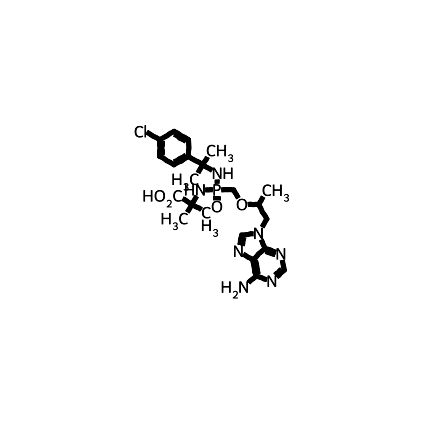 CC(Cn1cnc2c(N)ncnc21)OCP(=O)(NC(C)(C)C(=O)O)NC(C)(C)c1ccc(Cl)cc1